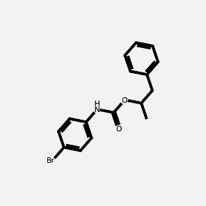 CC(Cc1ccccc1)OC(=O)Nc1ccc(Br)cc1